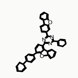 C1=CCC(c2ccc(-c3ccc(-c4nc(C5=CCCC=C5)nc(-c5ccc6c(c5)oc5ccccc56)n4)c4c3oc3ccccc34)cc2)C=C1